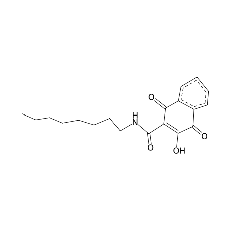 CCCCCCCCNC(=O)C1=C(O)C(=O)c2ccccc2C1=O